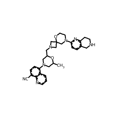 CC1CN(c2ccc(C#N)c3ncccc23)CC(CN2CC3(C2)CN(c2ccc4c(n2)CCNC4)CCO3)O1